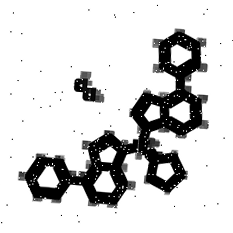 C1=C[CH]([Hf+2](=[C]2CCCC2)[CH]2C=Cc3c(-c4ccccc4)cccc32)c2cccc(-c3ccccc3)c21.[Cl-].[Cl-]